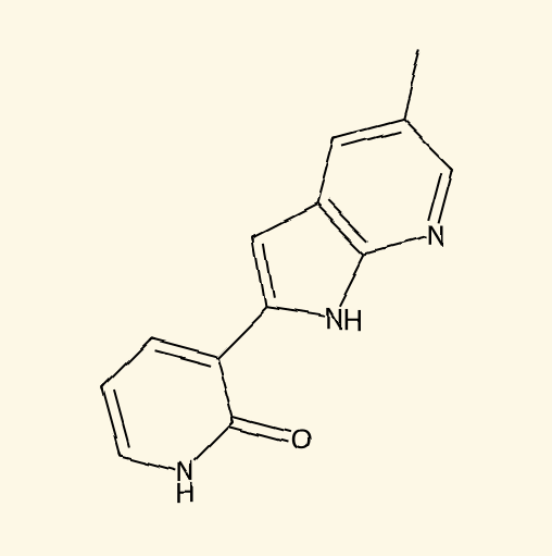 Cc1cnc2[nH]c(-c3ccc[nH]c3=O)cc2c1